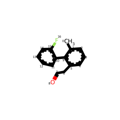 Cc1cccc(CC=O)c1-c1ccccc1F